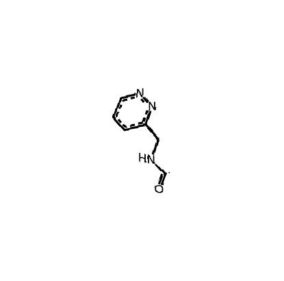 O=[C]NCc1cccnn1